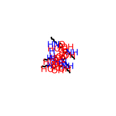 CCCCCN[C@H]1[C@H](O)[C@H](O)[C@@H](O[C@@H]2[C@@H](O[C@@H]3[C@@H](O[C@@H]4[C@H](O)[C@@H](O[C@@H]5[C@@H](O[C@H]6[C@@H](O)[C@H](NCCCCC)[C@@H](C)O[C@@H]6O)O[C@H](C)[C@@H](NCCCCC)[C@@H]5O)O[C@H](C)[C@H]4NCCCCC)O[C@H](C)[C@@H](NCCCCC)[C@@H]3O)O[C@H](C)[C@@H](NCCCCC)[C@@H]2O)O[C@@H]1C